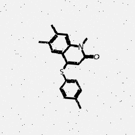 Cc1ccc(Sc2cc(=O)n(C)c3cc(C)c(C)cc23)cc1